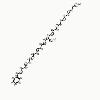 OCCOCCOCCOCCOCC(O)COCCOCCOCCOCCOCc1ccccc1